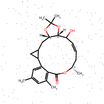 Cc1cc(C)c2c(c1)C1CC1C[C@@H]1OC(C)(C)O[C@@H]1C(O)/C=C\C[C@H](C)OC2=O